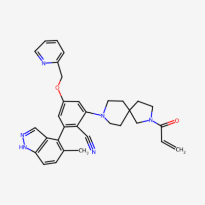 C=CC(=O)N1CCC2(CCN(c3cc(OCc4ccccn4)cc(-c4c(C)ccc5[nH]ncc45)c3C#N)CC2)C1